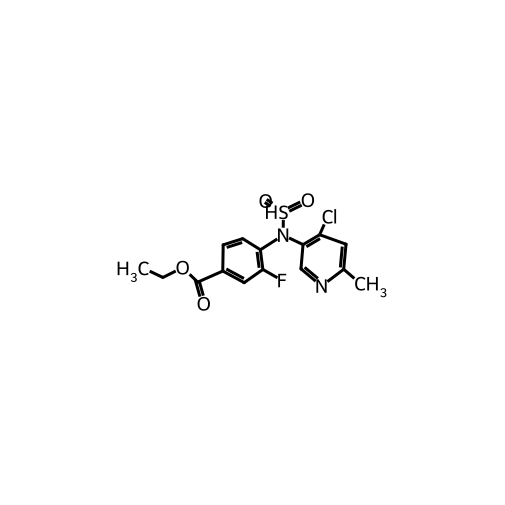 CCOC(=O)c1ccc(N(c2cnc(C)cc2Cl)[SH](=O)=O)c(F)c1